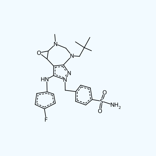 CN1CN(CC(C)(C)C)c2nn(Cc3ccc(S(N)(=O)=O)cc3)c(Nc3ccc(F)cc3)c2C2OC21